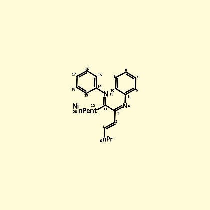 CCCC=CC(=Nc1ccccc1)C(CCCCC)=Nc1ccccc1.[Ni]